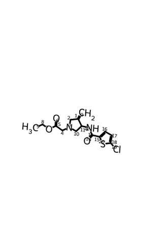 C=C1CN(CC(=O)OCC)CC1NC(=O)c1ccc(Cl)s1